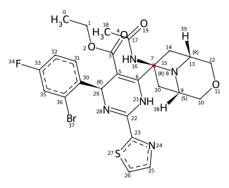 CCOC(=O)C1=C(CN2[C@@H]3COC[C@H]2C[C@H](NC(C)=O)C3)NC(c2nccs2)=N[C@H]1c1ccc(F)cc1Br